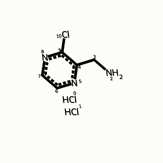 Cl.Cl.NCc1nccnc1Cl